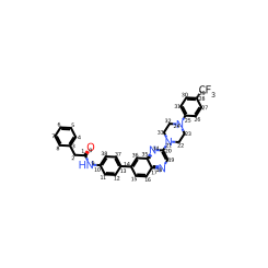 O=C(Cc1ccccc1)Nc1ccc(-c2ccc3ncc(N4CCN(c5ccc(C(F)(F)F)cc5)CC4)nc3c2)cc1